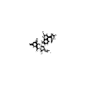 Cc1cc(Cl)c(COc2cccc3c(-c4ncnn4C)cc(C)nc23)c([C@H](C)N2CC[C@H](N)C2=O)c1